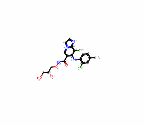 Bc1ccc(Nc2c(C(=O)NOC[C@H](O)CO)cn3ccnc3c2Cl)c(Cl)c1